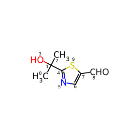 CC(C)(O)c1ncc(C=O)s1